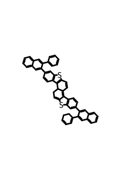 C1=CCCC(c2cc3ccccc3cc2-c2ccc3c4c(sc3c2)=CCC2C=4C=Cc3sc4cc(-c5cc6ccccc6cc5-c5ccccc5)ccc4c32)=C1